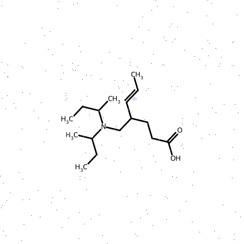 C/C=C/C(CCC(=O)O)CN(C(C)CC)C(C)CC